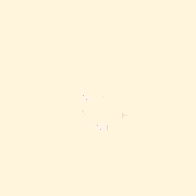 CC(=O)N1C[C@@H]2CCC1CN2